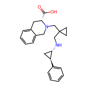 O=C(O)[C@H]1Cc2ccccc2CN1CC1(CN[C@H]2C[C@@H]2c2ccccc2)CC1